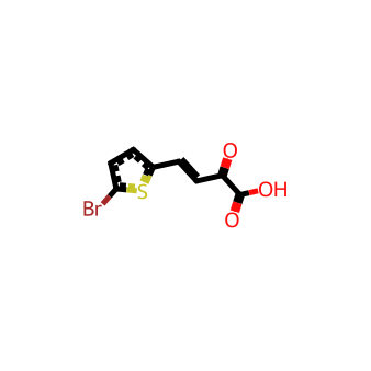 O=C(O)C(=O)/C=C/c1ccc(Br)s1